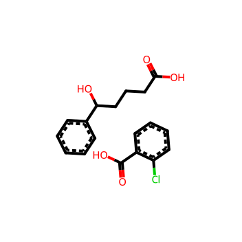 O=C(O)CCCC(O)c1ccccc1.O=C(O)c1ccccc1Cl